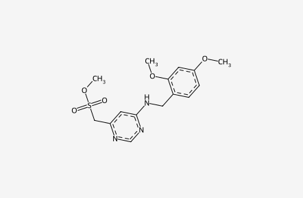 COc1ccc(CNc2cc(CS(=O)(=O)OC)ncn2)c(OC)c1